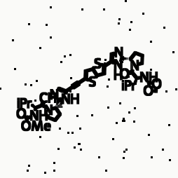 C=C([C@@H](NC(=O)OC)C(C)C)N1CCC[C@H]1c1ncc(C#CC2=CC3SC(c4cnc([C@@H]5CCCN5C(=O)[C@@H](NC5OCO5)C(C)C)[nH]4)=CC3S2)[nH]1